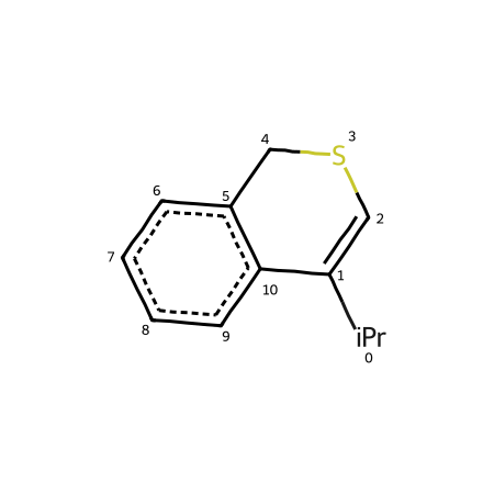 CC(C)C1=CSCc2ccccc21